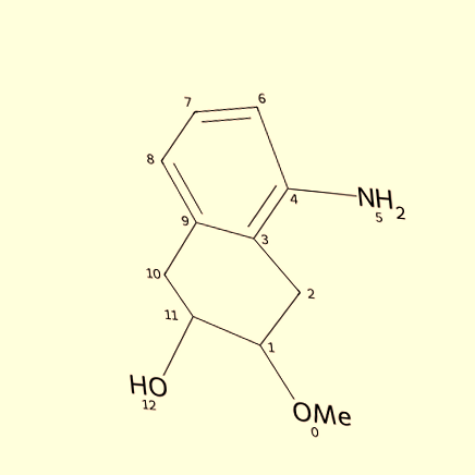 COC1Cc2c(N)cccc2CC1O